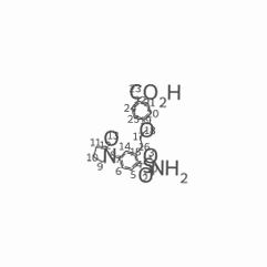 NS(=O)(=O)c1ccc(N2CCCC2=O)cc1CCOc1ccc(C(=O)O)cc1